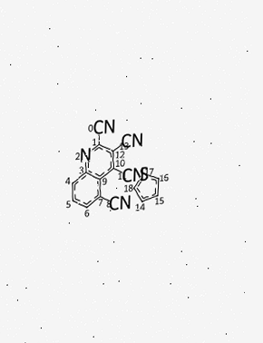 N#Cc1nc2cccc(C#N)c2c(C#N)c1C#N.c1ccsc1